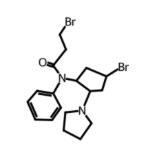 O=C(CCBr)N(c1ccccc1)C1CC(Br)CC1N1CCCC1